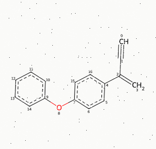 C#CC(=C)c1ccc(Oc2ccccc2)cc1